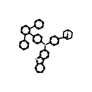 c1ccc(-c2cccc(-c3ccccc3)c2-c2ccc(N(c3ccc(C4CC5CCC4CC5)cc3)c3ccc4c(c3)oc3ccccc34)cc2)cc1